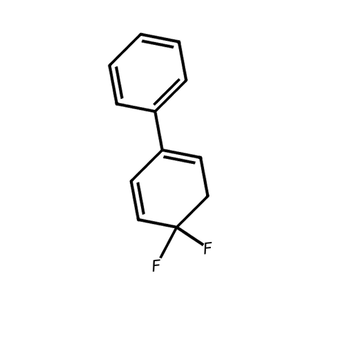 FC1(F)C=CC(c2ccccc2)=CC1